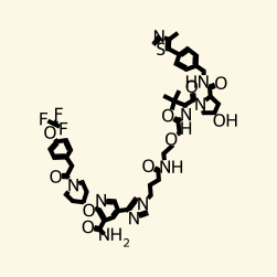 Cc1ncsc1-c1ccc(CNC(=O)C2C[C@@H](O)CN2C(=O)C(NC(=O)COCCNC(=O)CCCn2cnc(-c3cnc(OC4CCN(C(=O)Cc5ccc(OC(F)(F)F)cc5)CC4)c(C(N)=O)c3)c2)C(C)(C)C)cc1